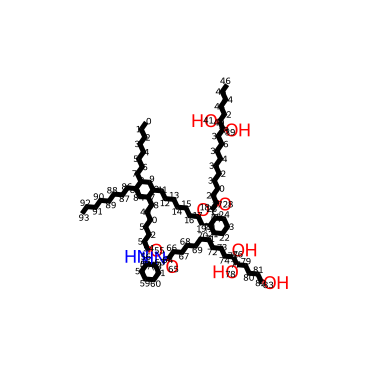 CCCCCCCCC1CC(CCCCCCC(=O)C[C@@H]2CCCC[C@H]2CC(=O)CCCCCCCCCC(O)C(O)CCCCC)C(CCCCCCC(=O)N[C@H]2CCCC[C@@H]2NC(=O)CCCCCCCCCC(O)C(O)CCCCO)CC1CCCCCCCC